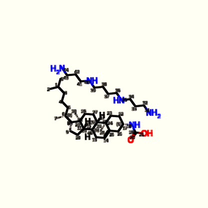 CC(C)CCC[C@@H](C)[C@H]1CC[C@H]2[C@@H]3CC=C4C[C@@H](NC(=O)O)CC[C@]4(C)[C@H]3CC[C@]12C.NCCCNCCCCNCCCN